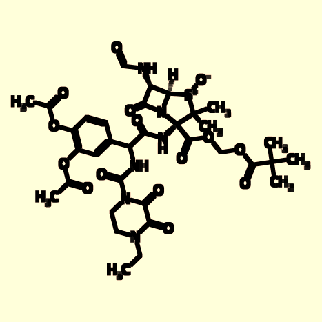 CCN1CCN(C(=O)NC(C(=O)N[C@@]2(C(=O)OCOC(=O)C(C)(C)C)N3C(=O)[C@@H](NC=O)[C@H]3[S+]([O-])C2(C)C)c2ccc(OC(C)=O)c(OC(C)=O)c2)C(=O)C1=O